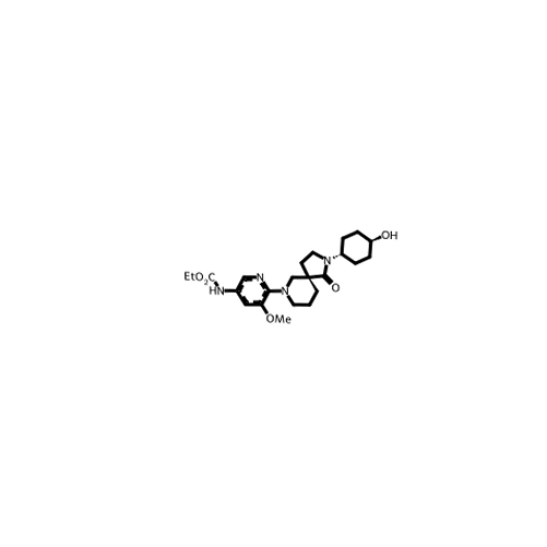 CCOC(=O)Nc1cnc(N2CCC[C@]3(CCN([C@H]4CC[C@H](O)CC4)C3=O)C2)c(OC)c1